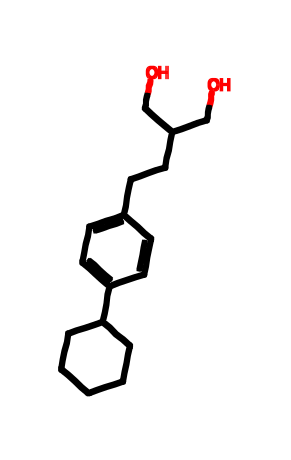 OCC(CO)CCc1ccc(C2CCCCC2)cc1